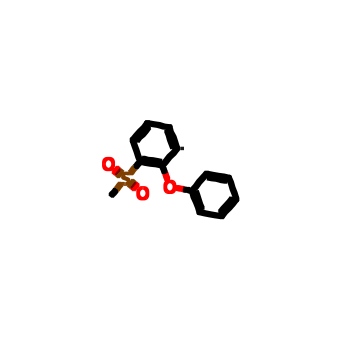 CS(=O)(=O)c1ccc[c]c1Oc1ccccc1